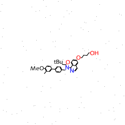 COc1ccc(-c2ccc(CN(C(=O)CC(C)(C)C)c3nccc4cc(OCCCCO)ccc34)cc2)cc1C